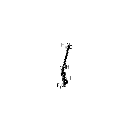 NC(=O)OCCCCCCCCCCCCNC(=O)COc1ccc(-c2nc3cc(OC(F)(F)F)ccc3[nH]2)nc1